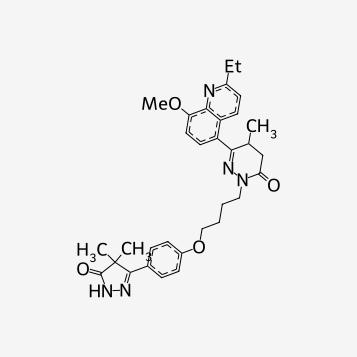 CCc1ccc2c(C3=NN(CCCCOc4ccc(C5=NNC(=O)C5(C)C)cc4)C(=O)CC3C)ccc(OC)c2n1